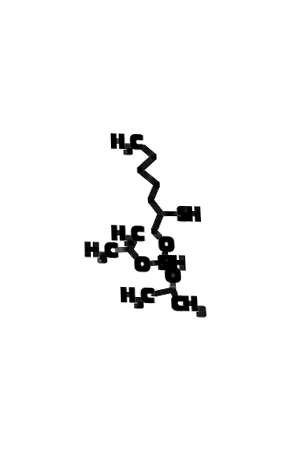 CCCCCC(S)CO[SiH](OC(C)C)OC(C)C